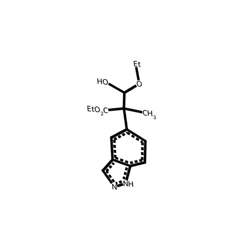 CCOC(=O)C(C)(c1ccc2[nH]ncc2c1)C(O)OCC